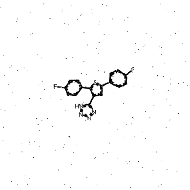 Fc1ccc(-c2cc(-c3nnn[nH]3)c(-c3ccc(F)cc3)s2)cc1